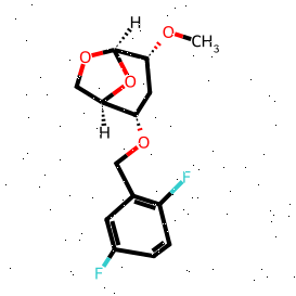 CO[C@@H]1C[C@H](OCc2cc(F)ccc2F)[C@H]2CO[C@@H]1O2